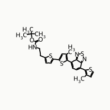 Cc1ccsc1-c1ccc(-c2sc(-c3ccc(CCNC(=O)OC(C)(C)C)s3)cc2C)c2nsnc12